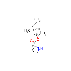 CCCC(C)(C)C[C@@H](C)OC(=O)[C@H]1CCCN1